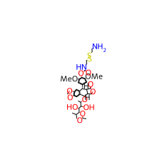 COc1cc([C@@H]2c3cc4c(cc3[C@@H](OC(C)C(O)C(O)C3OC(C)OCC3C)[C@H]3COC(=O)[C@H]23)OCO4)cc(OC)c1OC(=O)NCCSSCCN